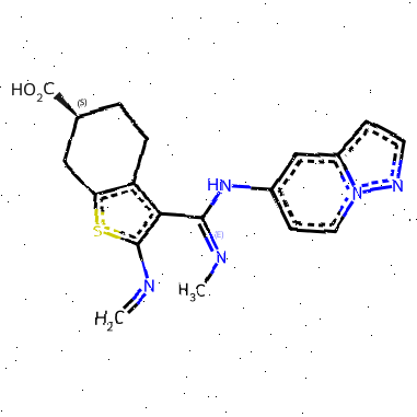 C=Nc1sc2c(c1/C(=N\C)Nc1ccn3nccc3c1)CC[C@H](C(=O)O)C2